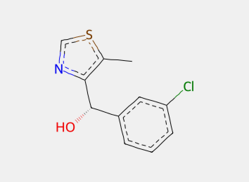 Cc1scnc1[C@@H](O)c1cccc(Cl)c1